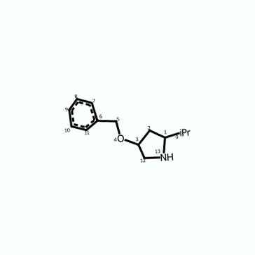 CC(C)C1CC(OCc2ccccc2)CN1